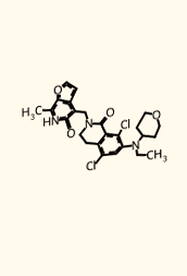 CCN(c1cc(Cl)c2c(c1Cl)C(=O)N(Cc1c(=O)[nH]c(C)c3occc13)CC2)C1CCOCC1